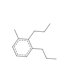 CCCc1cccc(C)c1CCC